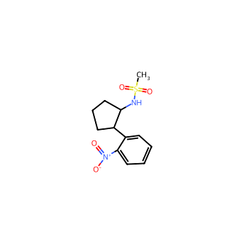 CS(=O)(=O)NC1CCCC1c1ccccc1[N+](=O)[O-]